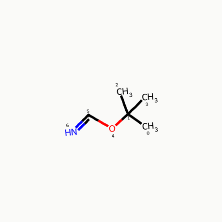 CC(C)(C)O[C]=N